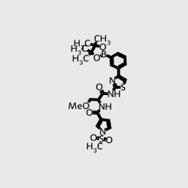 COCC(NC(=O)c1ccn(S(C)(=O)=O)c1)C(=O)Nc1nc(-c2cccc(B3OC(C)(C)C(C)(C)O3)c2)cs1